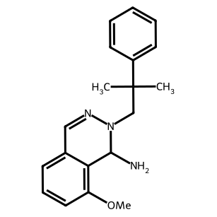 COc1cccc2c1C(N)N(CC(C)(C)c1ccccc1)N=C2